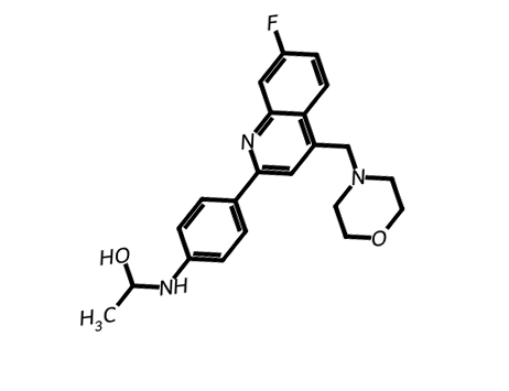 CC(O)Nc1ccc(-c2cc(CN3CCOCC3)c3ccc(F)cc3n2)cc1